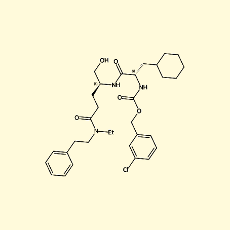 CCN(CCc1ccccc1)C(=O)CC[C@@H](CO)NC(=O)[C@H](CC1CCCCC1)NC(=O)OCc1cccc(Cl)c1